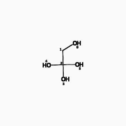 OCC(O)(O)O